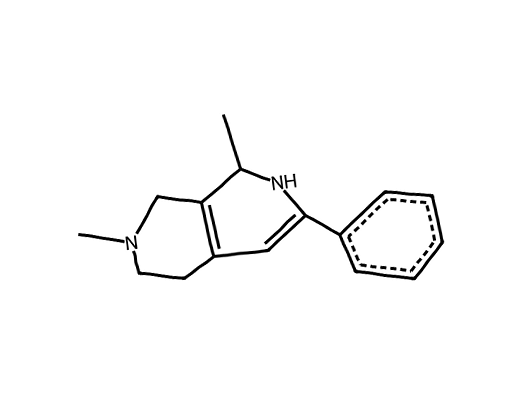 CC1NC(c2ccccc2)=CC2=C1CN(C)CC2